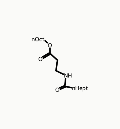 CCCCCCCCOC(=O)CCNC(=O)CCCCCCC